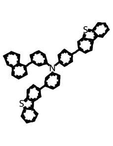 c1cc(-c2ccc3sc4ccccc4c3c2)cc(N(c2ccc(-c3ccc4c(c3)sc3ccccc34)cc2)c2cccc(-c3cccc4ccccc34)c2)c1